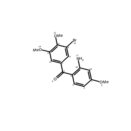 COc1ccc(C(=O)c2cc(Br)c(OC)c(OC)c2)c(N)c1